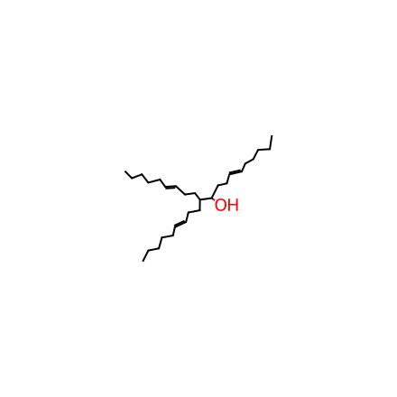 CCCCCC=CCCC(O)C(CCC=CCCCCC)CCC=CCCCCC